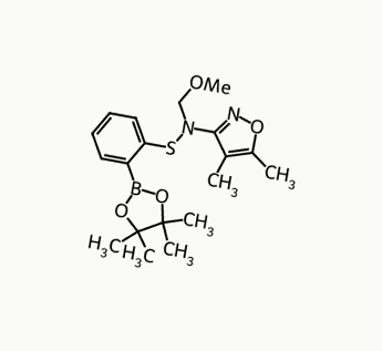 COCN(Sc1ccccc1B1OC(C)(C)C(C)(C)O1)c1noc(C)c1C